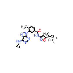 Cc1ccc(C(=O)Nc2cc(C(C)(C)C)on2)cc1-n1cnc2c(NC3CC3)ncnc21